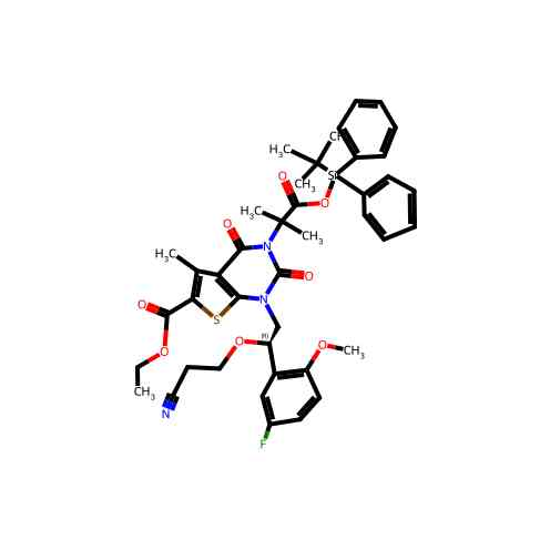 CCOC(=O)c1sc2c(c1C)c(=O)n(C(C)(C)C(=O)O[Si](c1ccccc1)(c1ccccc1)C(C)(C)C)c(=O)n2C[C@H](OCCC#N)c1cc(F)ccc1OC